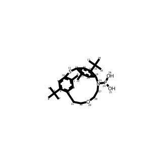 Cc1cc2c(C(C)(C)C)cc1Sc1cc(C(C)(C)C)c(cc1C)N(P(O)O)CCOCC2